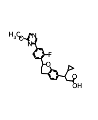 COc1cncc(-c2ccc(C3CCc4ccc(C(CC(=O)O)C5CC5)cc4O3)c(F)c2)n1